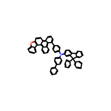 c1ccc(-c2ccc(N(c3ccc(-c4cccc5c6ccc7oc8ccccc8c7c6c6ccccc6c45)cc3)c3ccc4c(c3)C(c3ccccc3)(c3ccccc3)c3ccccc3-4)cc2)cc1